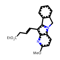 CCOC(=O)C/C=C/c1c2n(c3ccc(OC)nc13)Cc1ccccc1-2